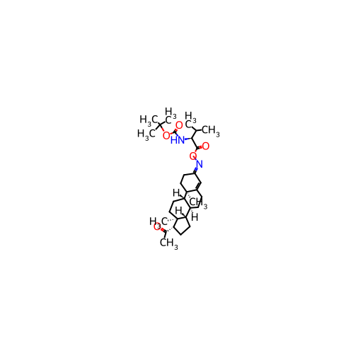 CC(=O)[C@H]1CC[C@H]2[C@@H]3CCC4=C/C(=N/OC(=O)[C@@H](NC(=O)OC(C)(C)C)C(C)C)CC[C@]4(C)[C@H]3CC[C@]12C